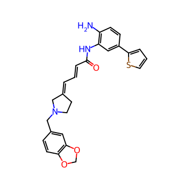 Nc1ccc(-c2cccs2)cc1NC(=O)C=CC=C1CCN(Cc2ccc3c(c2)OCO3)C1